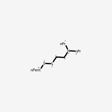 CCCCCSSCCN(CCC)CCC